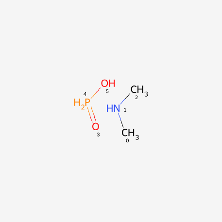 CNC.O=[PH2]O